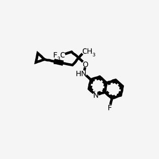 CC(CC#CC1CC1)(CC(F)(F)F)ONc1cnc2c(F)cccc2c1